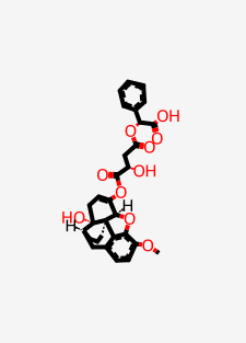 COc1ccc2c3c1O[C@@H]1C(OC(=O)[C@@H](O)CC(=O)O[C@H](C(=O)O)c4ccccc4)=CC[C@]4(O)[C@@H](CCC[C@@]314)C2